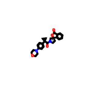 O=C1O[C@]2(CCN(C(=O)C3(c4ccc(N5CCOCC5)cc4)CC3)C2)c2ccccc21